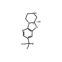 FC(F)(F)c1cnc2c(c1)O[C@@H]1CNCCN21